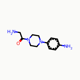 NCC(=O)N1CCN(c2ccc(N)cc2)CC1